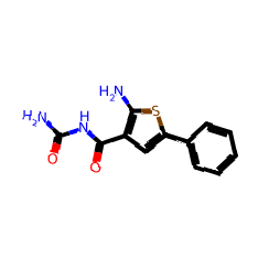 NC(=O)NC(=O)c1cc(-c2ccccc2)sc1N